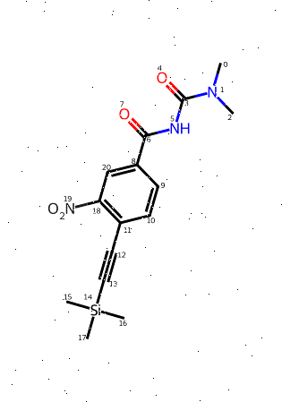 CN(C)C(=O)NC(=O)c1ccc(C#C[Si](C)(C)C)c([N+](=O)[O-])c1